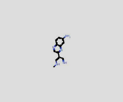 CN/C=C(\C=N)c1cnc2ccc(N)cc2n1